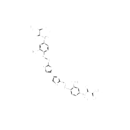 C=C(C)C(=O)N(CC)c1ccc(/N=N/c2ncc(-c3cnc(/N=N/c4ccc(N(CC)C(=O)C(=C)C)cc4O)s3)s2)c(O)c1